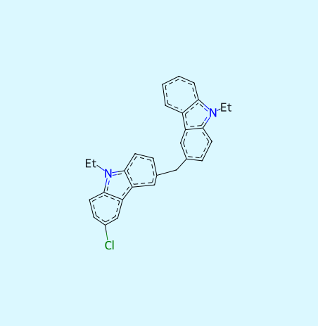 CCn1c2ccccc2c2cc(Cc3ccc4c(c3)c3cc(Cl)ccc3n4CC)ccc21